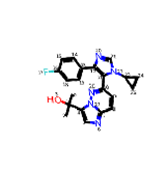 CC(C)(O)c1cnc2ccc(-c3c(-c4ccc(F)cc4)ncn3C3CC3)nn12